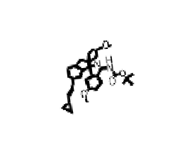 COc1ccc2c(c1)C1(N=C2NC(=O)OC(C)(C)C)c2cc(C#CC3CC3)ccc2CC12CCC(OC)CC2